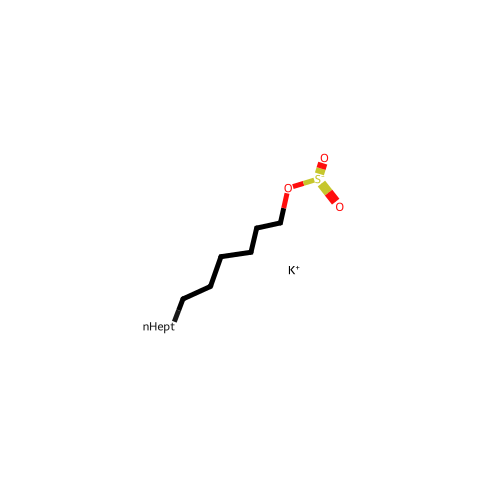 CCCCCCCCCCCCCO[S-](=O)=O.[K+]